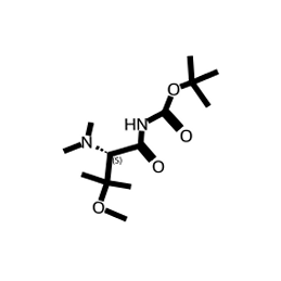 COC(C)(C)[C@@H](C(=O)NC(=O)OC(C)(C)C)N(C)C